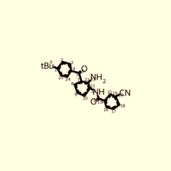 CC(C)(C)c1ccc(C(=O)c2cccc(NC(=O)c3cccc(C#N)c3)c2N)cc1